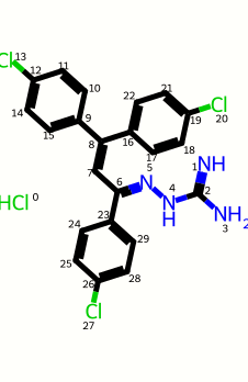 Cl.N=C(N)NN=C(C=C(c1ccc(Cl)cc1)c1ccc(Cl)cc1)c1ccc(Cl)cc1